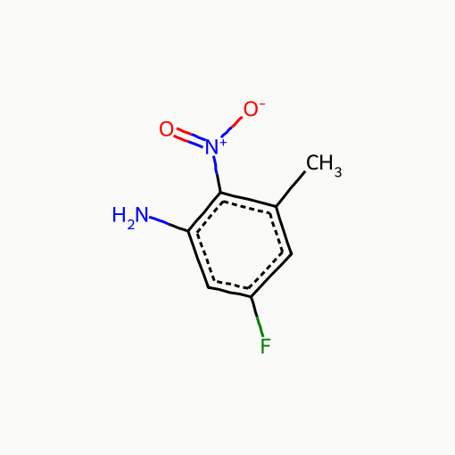 Cc1cc(F)cc(N)c1[N+](=O)[O-]